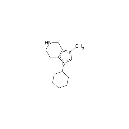 Cc1cn(C2CCCCC2)c2c1CNCC2